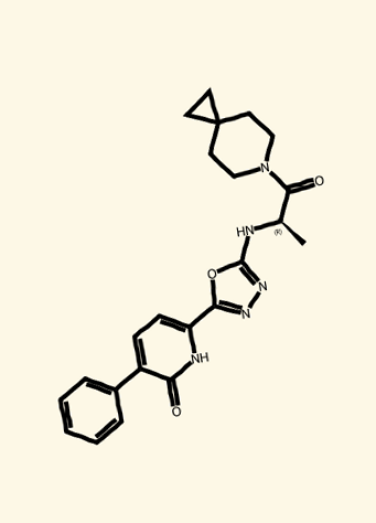 C[C@@H](Nc1nnc(-c2ccc(-c3ccccc3)c(=O)[nH]2)o1)C(=O)N1CCC2(CC1)CC2